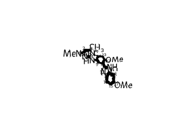 CNc1cc(C)nc(NC2=CC(c3nc4ccc(OC)cc4[nH]3)=C(OC)CC2C)n1